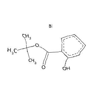 CC(C)(C)OC(=O)c1ccccc1O.[B]